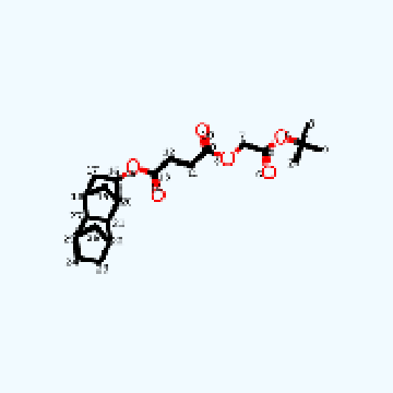 CC(C)(C)OC(=O)COC(=O)CCC(=O)OC1CC2CC1C1C3CCC(C3)C21